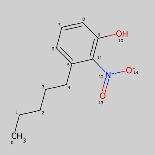 CCCCCc1cccc(O)c1[N+](=O)[O-]